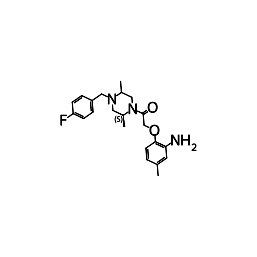 Cc1ccc(OCC(=O)N2CC(C)N(Cc3ccc(F)cc3)C[C@@H]2C)c(N)c1